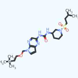 CC(C)CCS(=O)(=O)N1CCCC(NC(=O)Nc2cnc3c(ccn3COCC[Si](C)(C)C)n2)C1